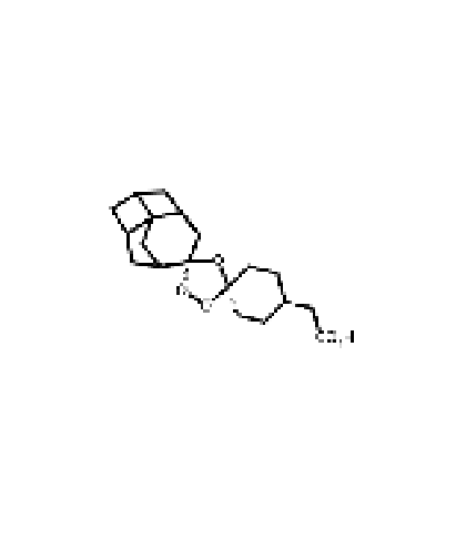 O=C(O)C[C@H]1CC[C@]2(CC1)OO[C@]1(O2)C2CC3CC4CC1CC34C2